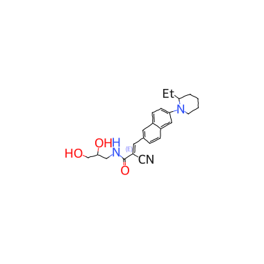 CCC1CCCCN1c1ccc2cc(/C=C(\C#N)C(=O)NCC(O)CO)ccc2c1